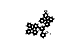 Cc1ccccc1-c1cc(-c2cccc(C(C3=CCC(C)C=C3)(c3ccccc3)c3ccccc3)c2)nc(-c2cccc(C(c3ccccc3)(c3ccccc3)c3ccccc3)c2)c1